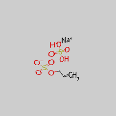 C=CCOS(=O)(=O)[O-].O=S(=O)(O)O.[Na+]